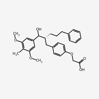 COc1cc(C(O)[C@H](CCCc2ccccc2)Cc2ccc(OCC(=O)O)cc2)cc(OC)c1C